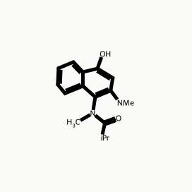 CNc1cc(O)c2ccccc2c1N(C)C(=O)C(C)C